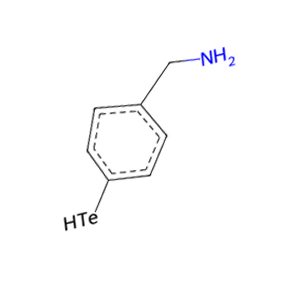 NCc1ccc([TeH])cc1